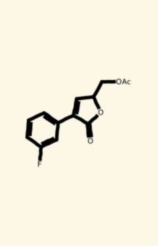 CC(=O)OCC1C=C(c2cccc(F)c2)C(=O)O1